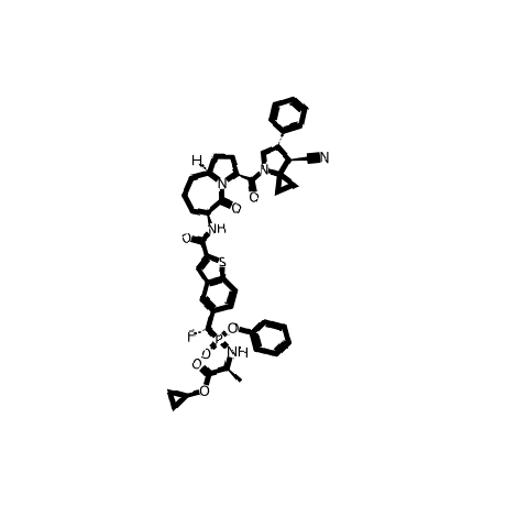 C[C@H](NP(=O)(Oc1ccccc1)[C@H](F)c1ccc2sc(C(=O)N[C@H]3CCC[C@H]4CC[C@@H](C(=O)N5C[C@H](c6ccccc6)[C@@H](C#N)C56CC6)N4C3=O)cc2c1)C(=O)OC1CC1